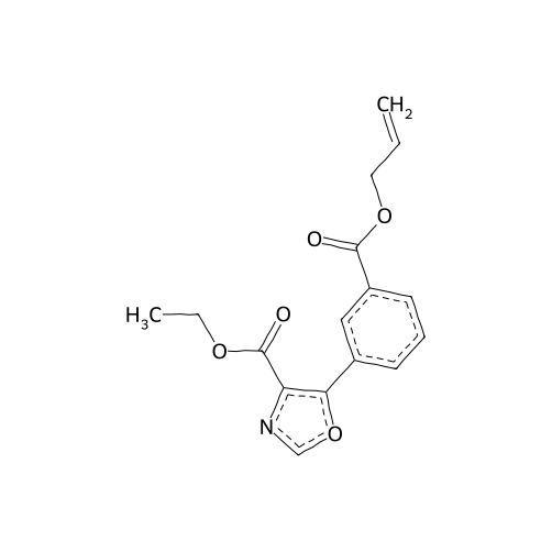 C=CCOC(=O)c1cccc(-c2ocnc2C(=O)OCC)c1